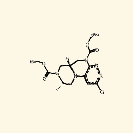 C[C@H]1CN2c3cc(Cl)nnc3N(C(=O)OC(C)(C)C)C[C@H]2CN1C(=O)OC(C)(C)C